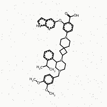 COc1ccc(CN2CCN(C3CC4(CCN(c5ccc(C(=O)O)c(Oc6cnc7[nH]ccc7c6)c5)CC4)C3)C(c3ccccc3C(C)C)C2)cc1OC